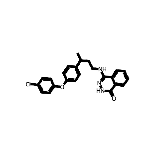 CC(CCNc1n[nH]c(=O)c2ccccc12)c1ccc(Oc2ccc(Cl)cc2)cc1